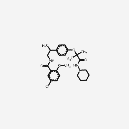 COc1ccc(Cl)cc1C(=O)NCC(C)c1ccc(OC(C)(C)C(=O)NN2CCCCC2)cc1